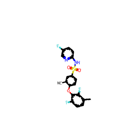 Cc1ccc(F)c(Oc2ccc(S(=O)(=O)Nc3ccc(F)cn3)cc2C#N)c1F